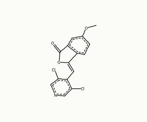 COc1ccc2c(c1)C(=O)OC2=Cc1c(Cl)cncc1Cl